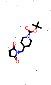 CC(C)(C)OC(=O)N1CCC(CN2C(=O)C=CC2=O)CC1